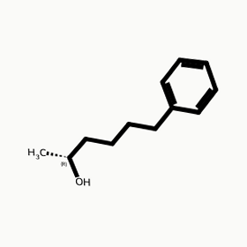 C[C@@H](O)CCCCc1ccccc1